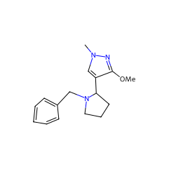 COc1nn(C)cc1C1CCCN1Cc1ccccc1